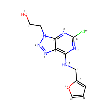 OCCn1nnc2c(NCc3ccco3)nc(Cl)nc21